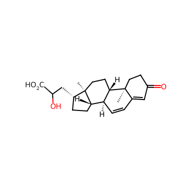 C[C@]12CC[C@H]3[C@@H](C=CC4=CC(=O)CC[C@@]43C)[C@@H]1CC[C@@H]2CC(O)C(=O)O